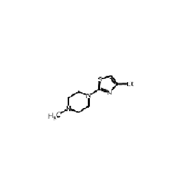 CCc1csc(N2CCN(C)CC2)n1